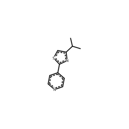 CC(C)c1csc(-c2ccncc2)n1